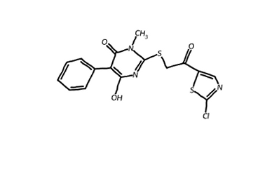 Cn1c(SCC(=O)c2cnc(Cl)s2)nc(O)c(-c2ccccc2)c1=O